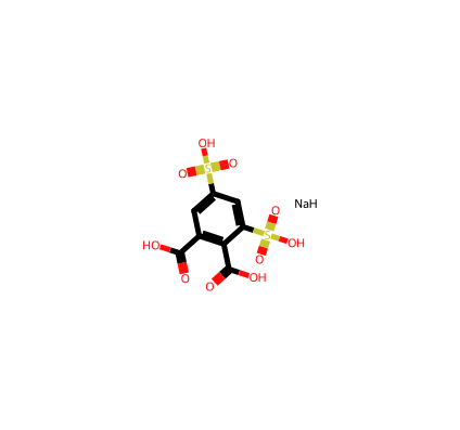 O=C(O)c1cc(S(=O)(=O)O)cc(S(=O)(=O)O)c1C(=O)O.[NaH]